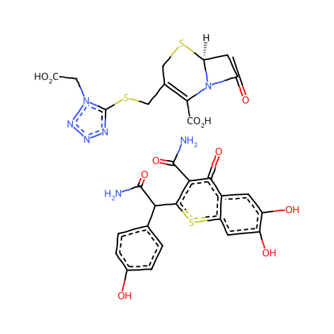 NC(=O)c1c(C(C(N)=O)c2ccc(O)cc2)sc2cc(O)c(O)cc2c1=O.O=C(O)Cn1nnnc1SCC1=C(C(=O)O)N2C(=O)C[C@@H]2SC1